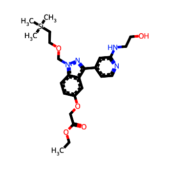 CCOC(=O)COc1ccc2c(c1)c(-c1ccnc(NCCO)c1)nn2COCC[Si](C)(C)C